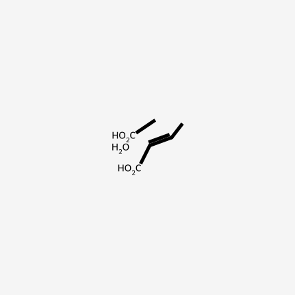 CC(=O)O.CC=CC(=O)O.O